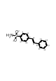 NS(=O)(=O)c1ccc(C=Cc2ccccc2)cc1